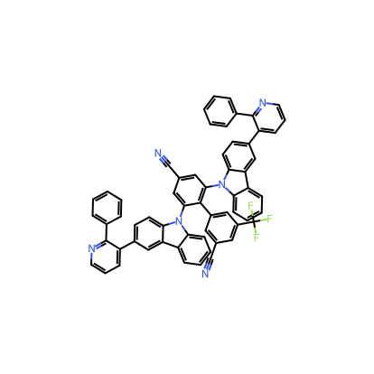 N#Cc1cc(-c2c(-n3c4ccccc4c4cc(-c5cccnc5-c5ccccc5)ccc43)cc(C#N)cc2-n2c3ccccc3c3cc(-c4cccnc4-c4ccccc4)ccc32)cc(C(F)(F)F)c1